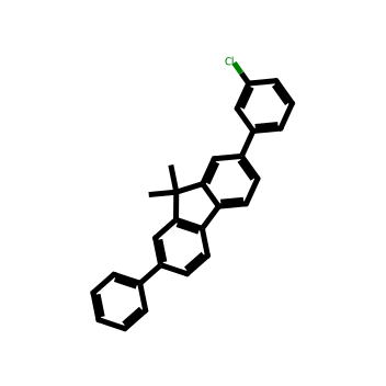 CC1(C)c2cc(-c3ccccc3)ccc2-c2ccc(-c3cccc(Cl)c3)cc21